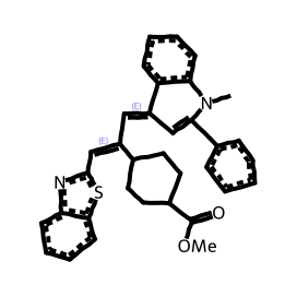 COC(=O)C1CCC(C(/C=C2\C=C(c3ccccc3)N(C)c3ccccc32)=C\c2nc3ccccc3s2)CC1